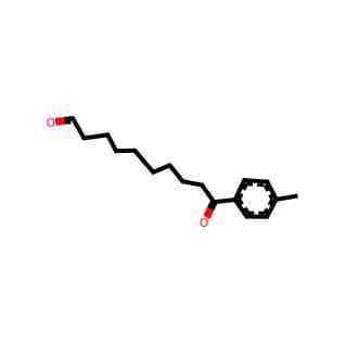 Cc1ccc(C(=O)CCCCCCCCC=O)cc1